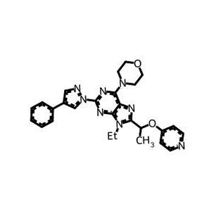 CCn1c(C(C)Oc2ccncc2)nc2c(N3CCOCC3)nc(-n3cc(-c4ccccc4)cn3)nc21